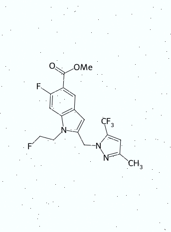 COC(=O)c1cc2cc(Cn3nc(C)cc3C(F)(F)F)n(CCF)c2cc1F